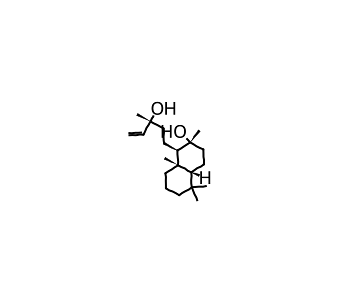 C=C[C@](C)(O)CC[C@@H]1[C@@]2(C)CCCC(C)(C)[C@H]2CC[C@@]1(C)O